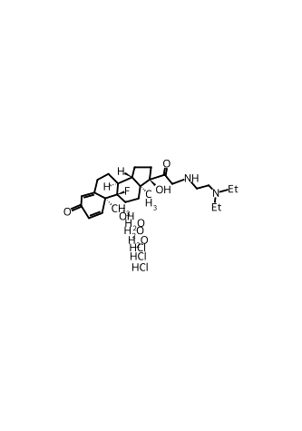 CCN(CC)CCNCC(=O)[C@@]1(O)CC[C@H]2[C@@H]3CCC4=CC(=O)C=C[C@]4(C)[C@@]3(F)[C@@H](O)C[C@@]21C.Cl.Cl.Cl.O.O.O